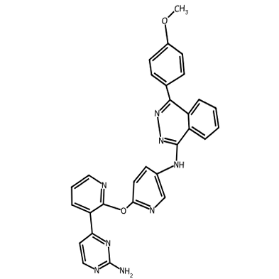 COc1ccc(-c2nnc(Nc3ccc(Oc4ncccc4-c4ccnc(N)n4)nc3)c3ccccc23)cc1